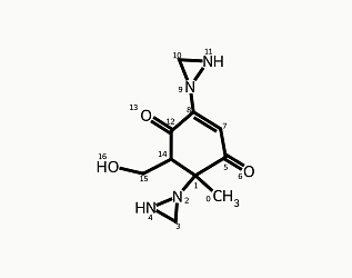 CC1(N2CN2)C(=O)C=C(N2CN2)C(=O)C1CO